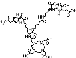 CC(C)Cc1ccc(C(C)C(=O)NCCCC[C@H](NC(=O)CN2CCN(CC(=O)O)CCN(CC(=O)O)CCN(CC(=O)O)CC2)C(=O)NCCCCC(=O)NCCCC[C@H](NC(=O)N[C@@H](CCC(=O)O)C(=O)O)C(=O)O)cc1